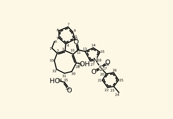 CCC1=C(c2ccccc2)C(C(=O)c2ccn(S(=O)(=O)c3ccc(C)cc3)c2)=C(O)CCCC1.O=CO